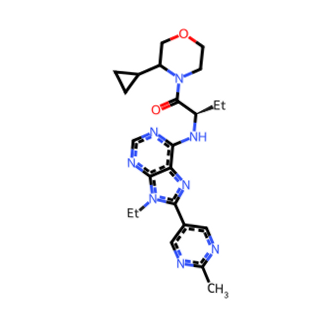 CC[C@@H](Nc1ncnc2c1nc(-c1cnc(C)nc1)n2CC)C(=O)N1CCOCC1C1CC1